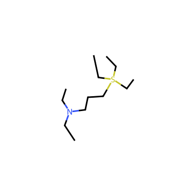 CCN(CC)CCCS(CC)(CC)CC